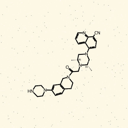 C[C@@H]1CN(c2ccc(C#N)c3ncccc23)C[C@H](C)N1CC(=O)N1CCc2ccc(N3CCNCC3)cc2C1